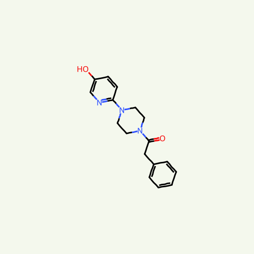 O=C(Cc1ccccc1)N1CCN(c2ccc(O)cn2)CC1